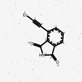 CCC#Cc1cccc2c1C(=O)NC2=O